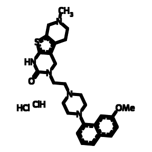 COc1ccc2cccc(N3CCN(CCN4Cc5c(sc6c5CCN(C)C6)NC4=O)CC3)c2c1.Cl.Cl